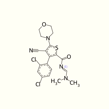 CN(C)/C=N/C(=O)c1sc(N2CCOCC2)c(C#N)c1-c1ccc(Cl)cc1Cl